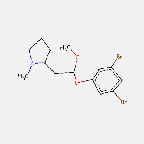 COC(CC1CCCN1C)Oc1cc(Br)cc(Br)c1